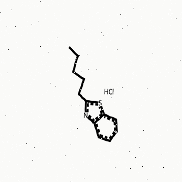 CCCCCc1nc2ccccc2s1.Cl